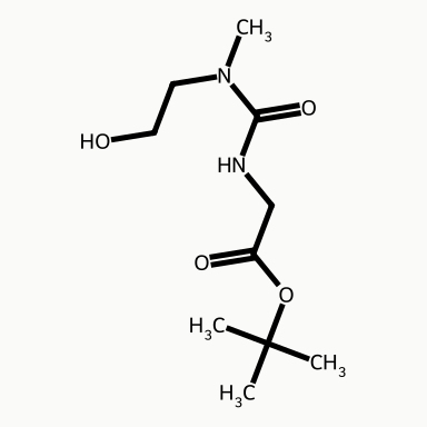 CN(CCO)C(=O)NCC(=O)OC(C)(C)C